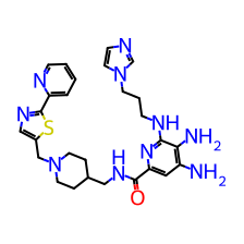 Nc1cc(C(=O)NCC2CCN(Cc3cnc(-c4ccccn4)s3)CC2)nc(NCCCn2ccnc2)c1N